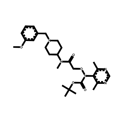 COc1cccc(CN2CCC(N(C)C(=O)CON(C(=O)OC(C)(C)C)c3c(C)ncnc3C)CC2)c1